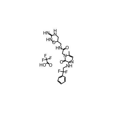 Cc1cnc(NCC(F)(F)c2ccccc2)c(=O)n1CC(=O)NCC1CNC(=N)NO1.O=C(O)C(F)(F)F